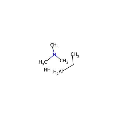 CN(C)C.C[CH2][AlH2].[HH]